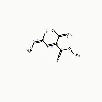 C=C(Cl)/C(=C\C(Br)=C/N)C(=O)OC